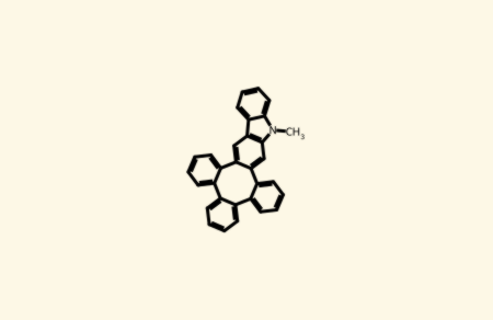 Cn1c2ccccc2c2cc3c(cc21)-c1ccccc1-c1ccccc1-c1ccccc1-3